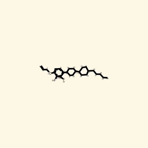 C=CCOc1ccc(C2CCC(C3CCC(CCCCC)CC3)CC2)c(F)c1F